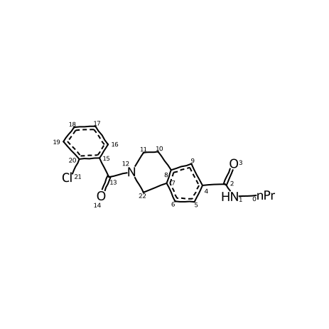 CCCNC(=O)c1ccc2c(c1)CCN(C(=O)c1ccccc1Cl)C2